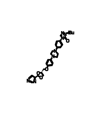 CCC(C)n1ncn(-c2ccc(N3CCN(c4ccc(OC[C@@H]5CO[C@@H](c6ccncn6)O5)cc4)CC3)cc2)c1=O